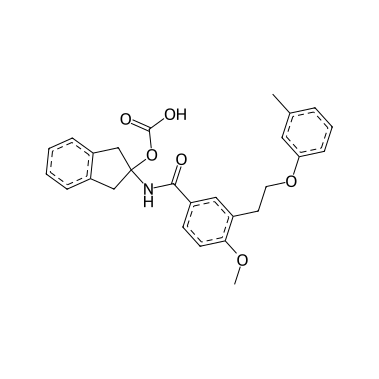 COc1ccc(C(=O)NC2(OC(=O)O)Cc3ccccc3C2)cc1CCOc1cccc(C)c1